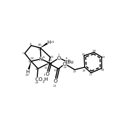 CC(C)(C)OC(=O)N1[C@@H]2CC[C@H]1C(C(=O)O)N(C(=O)OCc1ccccc1)C2